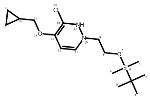 CC(C)(C)[Si](C)(C)OCCN1C=CC(OCC2CC2)=C(Cl)N1